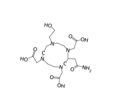 NC(=O)CC1CN(CC(=O)O)CCN(CC(=O)O)CCN(CCO)CCN1CC(=O)O